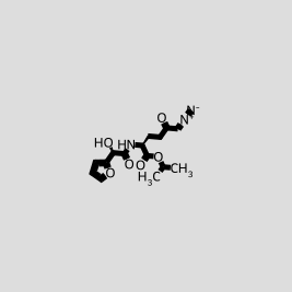 CC(C)OC(=O)[C@H](CCC(=O)C=[N+]=[N-])NC(=O)[C@H](O)c1ccco1